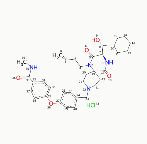 C=CCCN1C(=O)[C@@H]([C@H](O)C2CCCCC2)NC(=O)C12CCN(Cc1ccc(Oc3ccc(C(=O)NC)cc3)cc1)CC2.Cl